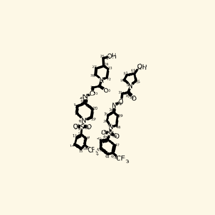 O=C(CON=C1CCN(S(=O)(=O)c2cccc(C(F)(F)F)c2)CC1)N1CCC(CO)CC1.O=C(CON=C1CCN(S(=O)(=O)c2cccc(C(F)(F)F)c2)CC1)N1CCC(O)C1